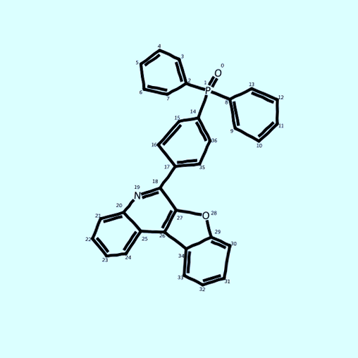 O=P(c1ccccc1)(c1ccccc1)c1ccc(-c2nc3ccccc3c3c2oc2ccccc23)cc1